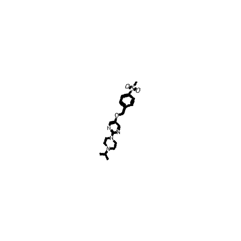 CC(C)N1CCN(c2ncc(OCc3ccc(S(C)(=O)=O)cc3)cn2)CC1